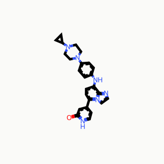 O=c1cc(-c2ccc(Nc3ccc(N4CCN(C5CC5)CC4)cc3)c3nccn23)cc[nH]1